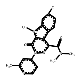 Cc1cc(-n2nc(C(=O)N(C)C)c3c4ccc(Cl)cc4n(C)c3c2=O)ccn1